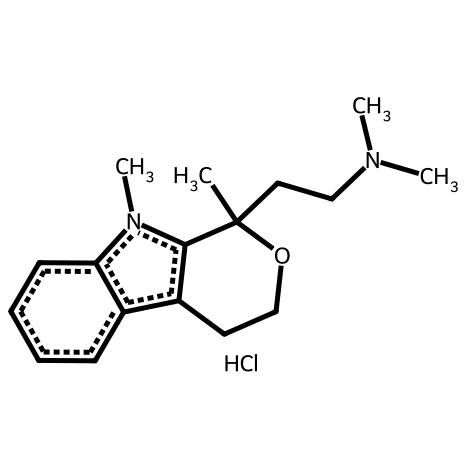 CN(C)CCC1(C)OCCc2c1n(C)c1ccccc21.Cl